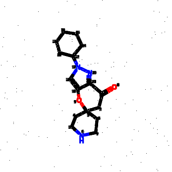 O=C1CC2(CCNCC2)Oc2cn(C3CCCCC3)nc21